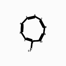 Fc1ccccccccc1